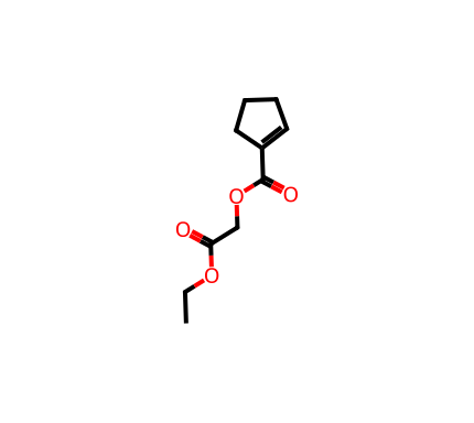 CCOC(=O)COC(=O)C1=CCCC1